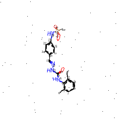 Cc1cccc(C)c1NC(=O)N/N=C/c1ccc(NS(C)(=O)=O)cc1